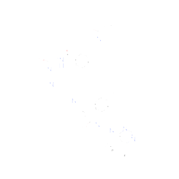 C[C@@H]1C[C@@H](O)c2ncnc(N3CCN(C(=O)[C@@H](CCN4CCC(CN5CCN(C(=O)[C@H](NC(=O)c6cccc(C7CCCN(C(=O)C8CC8)C7)c6)C6CCCCC6)CC5)CC4)c4ccc(Cl)cc4)CC3)c21